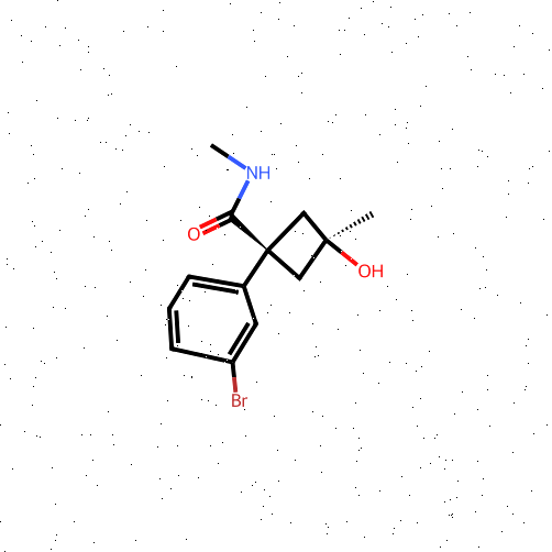 CNC(=O)[C@]1(c2cccc(Br)c2)C[C@](C)(O)C1